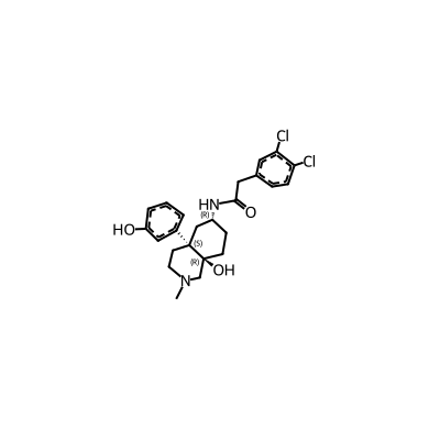 CN1CC[C@@]2(c3cccc(O)c3)C[C@H](NC(=O)Cc3ccc(Cl)c(Cl)c3)CC[C@]2(O)C1